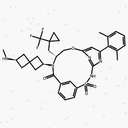 CN[C@H]1CC2(C1)C[C@H](N1C(=O)c3cccc(c3)S(=O)(=O)Nc3nc(cc(-c4c(C)cccc4C)n3)OC[C@H]1CC1(C(F)(F)F)CC1)C2